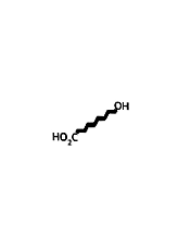 O=C(O)CCC=CC=CCCO